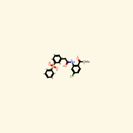 COC(=O)c1ccc(Cl)cc1NC(=O)Cc1cccc(S(=O)(=O)c2ccccc2)c1